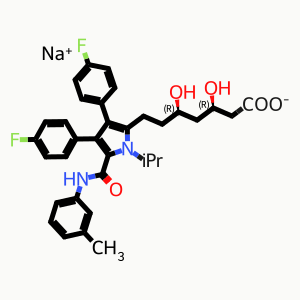 Cc1cccc(NC(=O)c2c(-c3ccc(F)cc3)c(-c3ccc(F)cc3)c(CC[C@@H](O)C[C@@H](O)CC(=O)[O-])n2C(C)C)c1.[Na+]